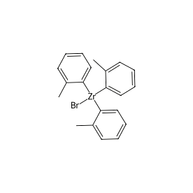 Cc1cccc[c]1[Zr]([Br])([c]1ccccc1C)[c]1ccccc1C